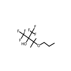 CCCOC(C)(C)C(O)(C(F)(F)F)C(F)(F)F